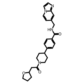 O=C(NCc1ccn2ccnc2c1)c1ccc(C2CCN(C(=O)CC3CCCO3)CC2)cc1